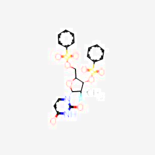 C[C@@]1(F)[C@H](OS(=O)(=O)c2ccccc2)C(COS(=O)(=O)c2ccccc2)O[C@H]1n1ccc(=O)[nH]c1=O